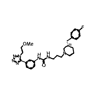 COCCn1nnnc1-c1cccc(NC(=O)NCCCN2CCC[C@@H](Cc3ccc(F)cc3)C2)c1